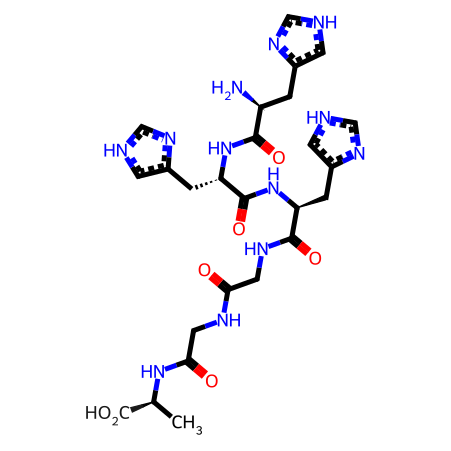 C[C@H](NC(=O)CNC(=O)CNC(=O)[C@H](Cc1c[nH]cn1)NC(=O)[C@H](Cc1c[nH]cn1)NC(=O)[C@@H](N)Cc1c[nH]cn1)C(=O)O